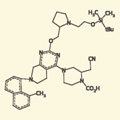 Cc1cccc2cccc(N3CCc4c(nc(OCC5CCCN5CCO[Si](C)(C)C(C)(C)C)nc4N4CCN(C(=O)O)C(CC#N)C4)C3)c12